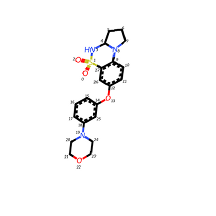 O=S1(=O)NC2CCCN2c2ccc(Oc3cccc(N4CCOCC4)c3)cc21